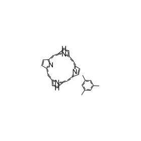 C1=Cc2cc3ccc(cc4nc(cc5ccc(cc1n2)[nH]5)C=C4)[nH]3.Cc1cc(C)cc(C)c1